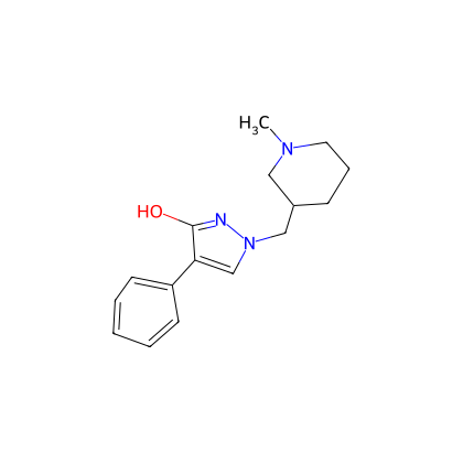 CN1CCCC(Cn2cc(-c3ccccc3)c(O)n2)C1